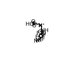 C[N+](C)(CCCS(=O)(=O)O)CCNS(=O)(=O)c1c(F)c(F)c(N=[N+]=[N-])c(F)c1F